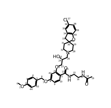 COc1ccc(COc2ccc(C(=O)NCCNC(C)=O)c(OC[C@@H](O)CN3CCC4(CC3)Cc3cc(Cl)ccc3O4)c2)cc1